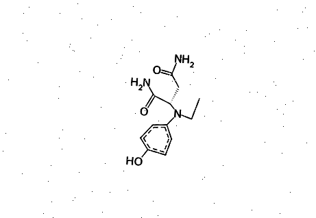 CCN(c1ccc(O)cc1)[C@@H](CC(N)=O)C(N)=O